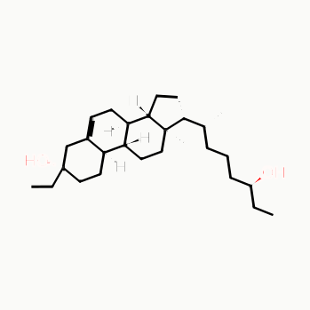 CC[C@H](O)CCC[C@@H](C)[C@H]1CC[C@H]2[C@@H]3CC=C4C[C@](O)(CC)CC[C@@H]4[C@H]3CC[C@]12C